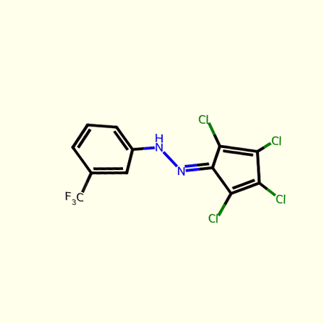 FC(F)(F)c1cccc(NN=C2C(Cl)=C(Cl)C(Cl)=C2Cl)c1